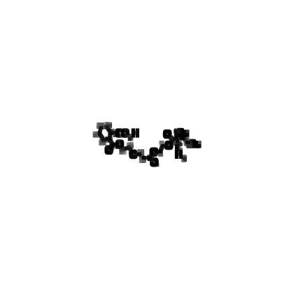 CC(C)(C)CC(C)(C(=O)OCCOC(=O)CCOCCOC(=O)C1CCCCC1C(=O)O)C(C)(C)C